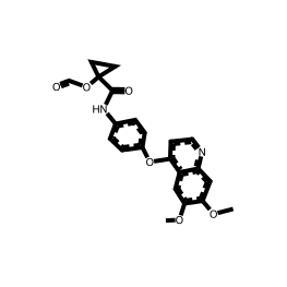 COc1cc2nccc(Oc3ccc(NC(=O)C4(OC=O)CC4)cc3)c2cc1OC